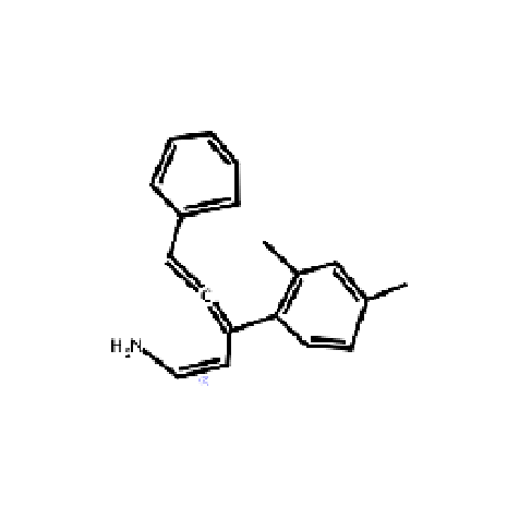 Cc1ccc(C(=C=Cc2ccccc2)/C=C\N)c(C)c1